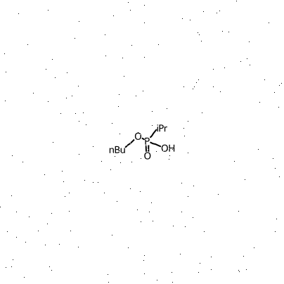 CCCCOP(=O)(O)C(C)C